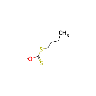 CCCCSC([O])=S